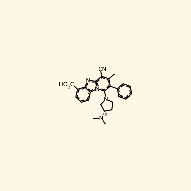 Cc1c(-c2ccccc2)c(N2CC[C@H](N(C)C)C2)n2c(nc3c(C(=O)O)cccc32)c1C#N